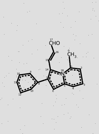 Cc1cccc2cc(-c3ccccc3)c(C=CC=O)n12